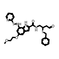 COCCOc1cc(NSc2ccccn2)c2[nH]c(C(=O)NCC(CC=O)SCc3ccccc3)cc2c1